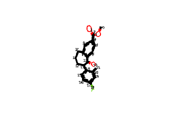 COC(=O)c1ccc2c(c1)CCCC(c1ccc(F)cc1C)C2=O